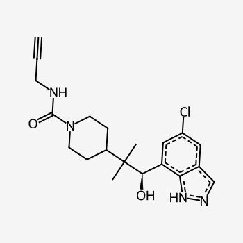 C#CCNC(=O)N1CCC(C(C)(C)[C@H](O)c2cc(Cl)cc3cn[nH]c23)CC1